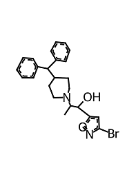 CC(C(O)c1cc(Br)no1)N1CCC(C(c2ccccc2)c2ccccc2)CC1